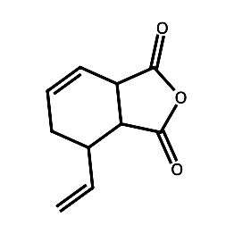 C=CC1CC=CC2C(=O)OC(=O)C12